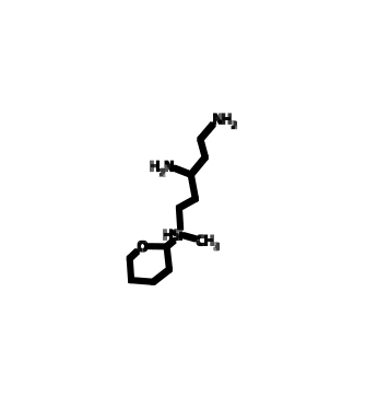 C[SiH](CCC(N)CCN)C1CCCCO1